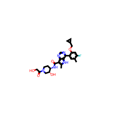 Cc1cc(-c2ncnc3c(C(=O)N[C@@H]4CCN(C(=O)CO)C[C@H]4O)c(C)[nH]c23)c(OCC2CC2)cc1F